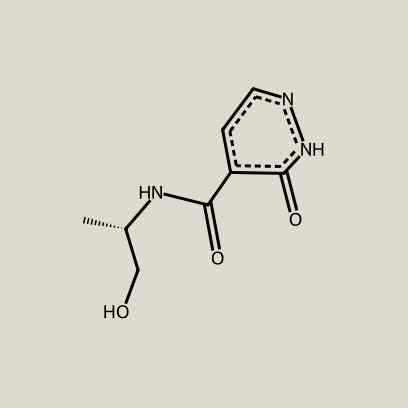 C[C@@H](CO)NC(=O)c1ccn[nH]c1=O